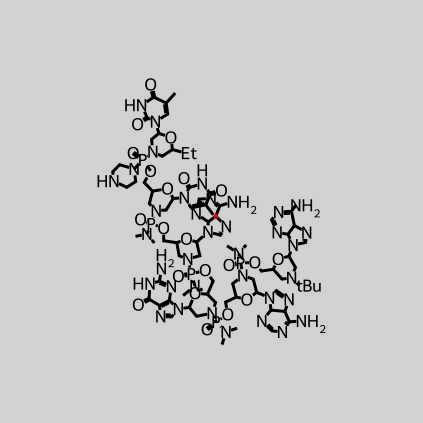 CCC1CN(P(=O)(OCC2CN(P(=O)(OCC3CN(P(=O)(OCC4CN(P(=O)(OCC5CN(P(=O)(OCC6CN(C(C)(C)C)CC(N7C=NC8C(N)=NC=NC87)O6)N(C)C)CC(N6C=NC7C(N)=NC=NC76)O5)N(C)C)CC(n5cnc6c(=O)[nH]c(N)nc65)O4)N(C)C)CC(N4C=NC5C(N)=NC=NC54)O3)N(C)C)CC(n3cc(C)c(=O)[nH]c3=O)O2)N2CCNCC2)CC(n2cc(C)c(=O)[nH]c2=O)O1